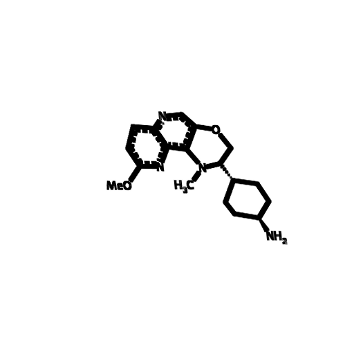 COc1ccc2ncc3c(c2n1)N(C)C([C@H]1CC[C@H](N)CC1)CO3